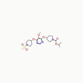 COc1c(OC2CCN(C(=O)OC(C)C)CC2)ncnc1OC1CCN(S(C)(=O)=O)CC1